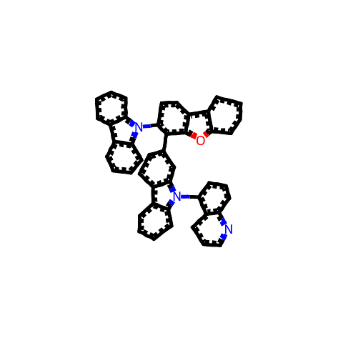 c1cc(-n2c3ccccc3c3ccc(-c4c(-n5c6ccccc6c6ccccc65)ccc5c4oc4ccccc45)cc32)c2cccnc2c1